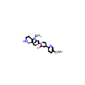 COc1ccc(-c2ccn(-c3ccc4c5c(n(C)c4c3)CCNC5)c(=O)c2)nc1